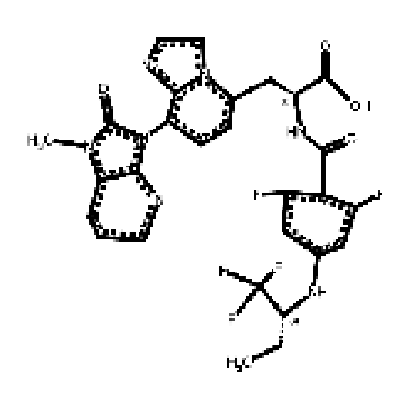 CC[C@@H](Nc1cc(F)c(C(=O)N[C@@H](Cc2ccc(-n3c(=O)n(C)c4cccnc43)c3nccn23)C(=O)O)c(F)c1)C(F)(F)F